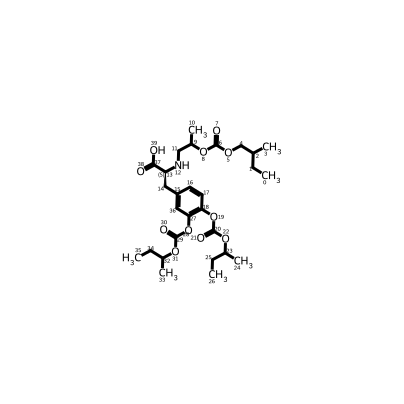 CCC(C)COC(=O)OC(C)CN[C@@H](Cc1ccc(OC(=O)OC(C)CC)c(OC(=O)OC(C)CC)c1)C(=O)O